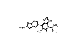 CNc1cn2cc(-c3c(C)c(F)c(C(C)N)c4[nH]ncc34)ccc2n1